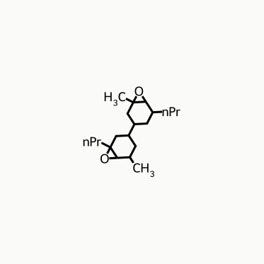 CCCC1CC(C2CC(C)C3OC3(CCC)C2)CC2(C)OC12